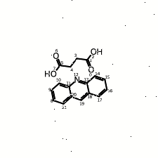 O=C(O)CCC(=O)O.c1ccc2nc3ccccc3cc2c1